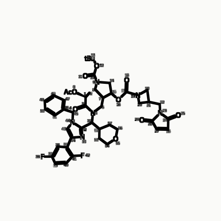 CC(=O)O[C@@H](C)C(=O)N(CC1CN(C(=O)OC(C)(C)C)CC1OC(=O)N1CC(CN2C(=O)C=CC2=O)C1)C(c1nc(-c2cc(F)ccc2F)cn1Cc1ccccc1)C1CCOCC1